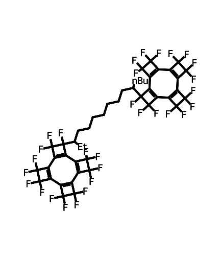 CCCCC(CCCCCCCC(CC)C1(F)C2=C(C3=C(C4=C(C5=C2C(F)(F)C5(F)F)C(F)(F)C4(F)F)C(F)(F)C3(F)F)C1(F)F)C1(F)C2=C(C3=C(C4=C(C5=C2C(F)(F)C5(F)F)C(F)(F)C4(F)F)C(F)(F)C3(F)F)C1(F)F